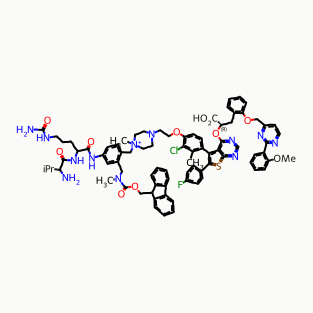 COc1ccccc1-c1nccc(COc2ccccc2C[C@@H](Oc2ncnc3sc(-c4ccc(F)cc4)c(-c4ccc(OCCN5CC[N+](C)(Cc6ccc(NC(=O)C(CCCNC(N)=O)NC(=O)C(N)C(C)C)cc6CN(C)C(=O)OCC6c7ccccc7-c7ccccc76)CC5)c(Cl)c4C)c23)C(=O)O)n1